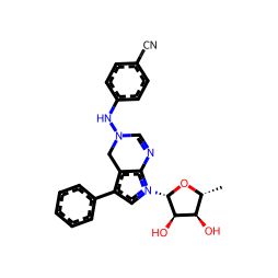 C[C@H]1O[C@@H](n2cc(-c3ccccc3)c3c2N=CN(Nc2ccc(C#N)cc2)C3)[C@H](O)[C@@H]1O